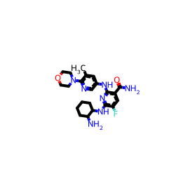 Cc1cc(Nc2nc(NC3CCCCC3N)c(F)cc2C(N)=O)cnc1N1CCOCC1